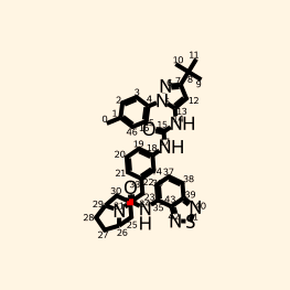 Cc1ccc(-n2nc(C(C)(C)C)cc2NC(=O)Nc2cccc(CC3CC4CCC(C3)N4C(=O)Nc3cccc4nsnc34)c2)cc1